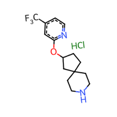 Cl.FC(F)(F)c1ccnc(OC2CCC3(CCNCC3)C2)c1